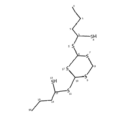 CCCC(S)SC1SCSC(SC(S)CCC)S1